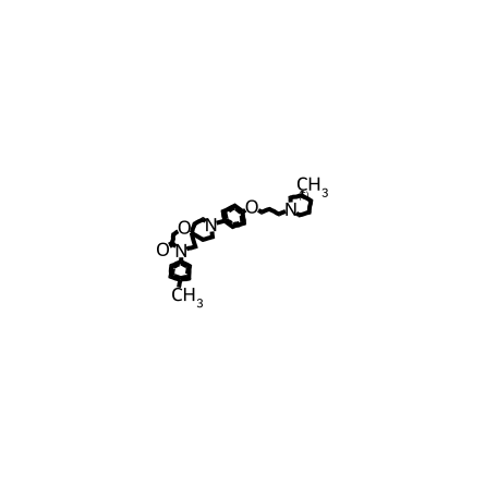 Cc1ccc(N2CC3(CCN(c4ccc(OCCCN5CCC[C@H](C)C5)cc4)CC3)OCC2=O)cc1